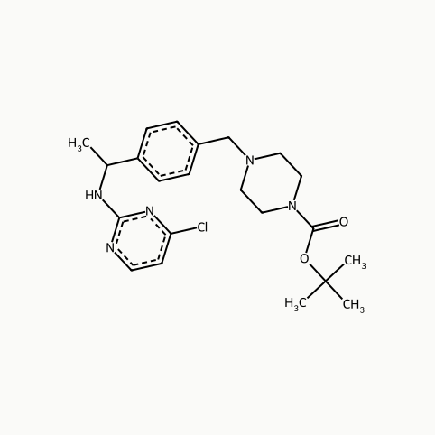 CC(Nc1nccc(Cl)n1)c1ccc(CN2CCN(C(=O)OC(C)(C)C)CC2)cc1